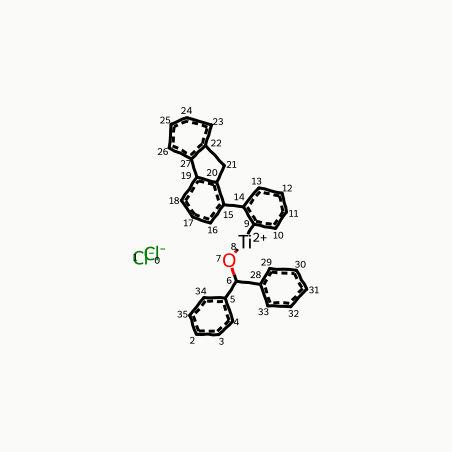 [Cl-].[Cl-].c1ccc(C([O][Ti+2][c]2ccccc2-c2cccc3c2Cc2ccccc2-3)c2ccccc2)cc1